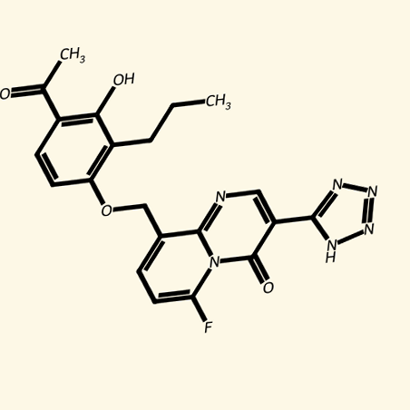 CCCc1c(OCc2ccc(F)n3c(=O)c(-c4nnn[nH]4)cnc23)ccc(C(C)=O)c1O